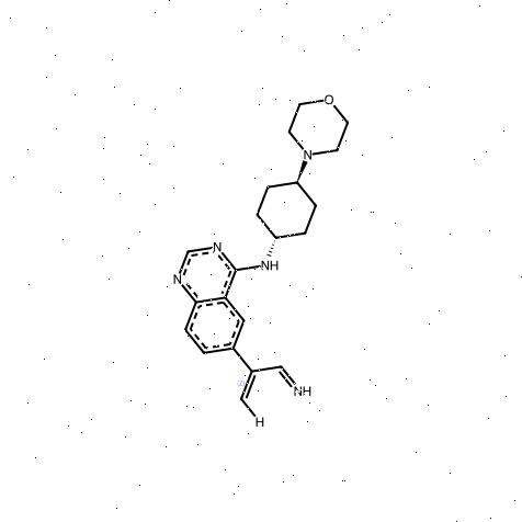 [H]/C=C(\C=N)c1ccc2ncnc(N[C@H]3CC[C@H](N4CCOCC4)CC3)c2c1